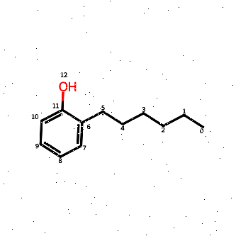 CCCCC[CH]c1ccccc1O